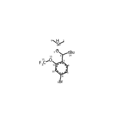 C[SiH](C)OC(c1ccc(Br)cc1OC(F)(F)F)C(C)(C)C